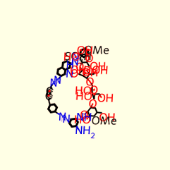 COC1OC(CO)C(OC2OC(CO)C3OC4OC(CO)C(OC5CC(CO)C(OC)C(O)C5ONc5cc(N)ccc5/N=N/c5ccc(cc5)-c5ccc(cc5)/N=N/c5ccc6cc(S(=O)(=O)O)c(/N=N/c7ccccc7)c(O)c6c5NOC2C3O)C(O)C4O)C(O)C1O